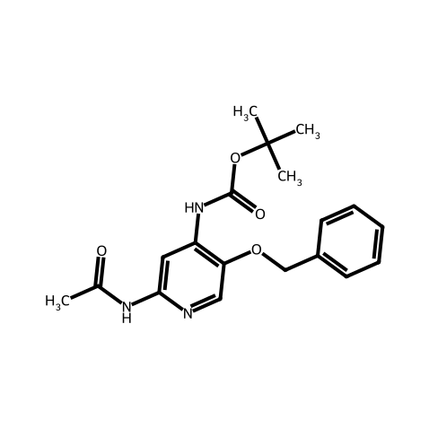 CC(=O)Nc1cc(NC(=O)OC(C)(C)C)c(OCc2ccccc2)cn1